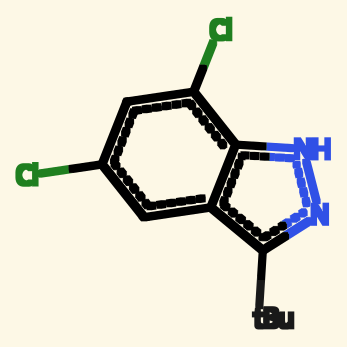 CC(C)(C)c1n[nH]c2c(Cl)cc(Cl)cc12